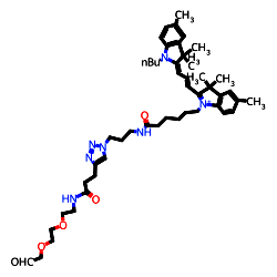 CCCCN1/C(=C/C=C/C2=[N+](CCCCCC(=O)NCCCn3cc(CCC(=O)NCCOCCOCC=O)nn3)c3ccc(C)cc3C2(C)C)C(C)(C)c2cc(C)ccc21